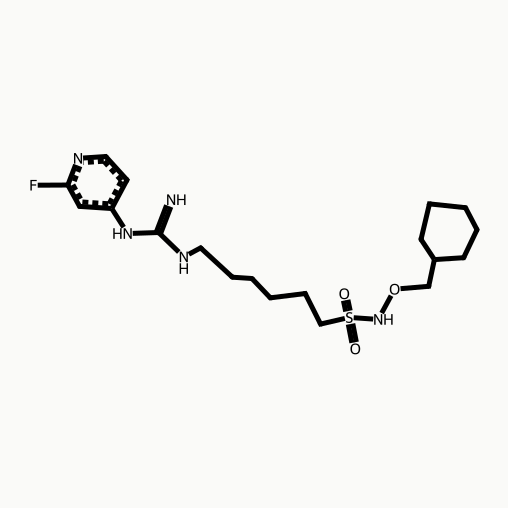 N=C(NCCCCCCS(=O)(=O)NOCC1CCCCC1)Nc1ccnc(F)c1